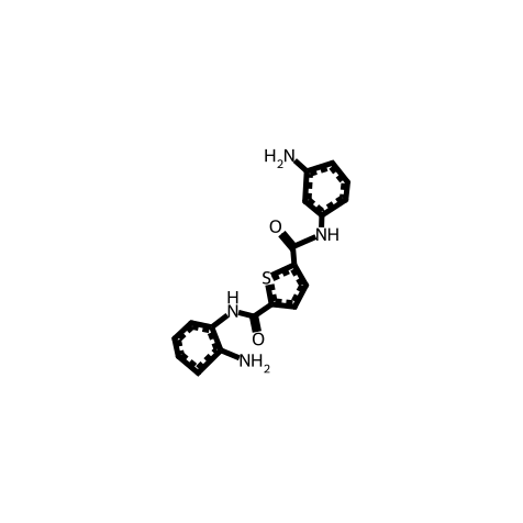 Nc1cccc(NC(=O)c2ccc(C(=O)Nc3ccccc3N)s2)c1